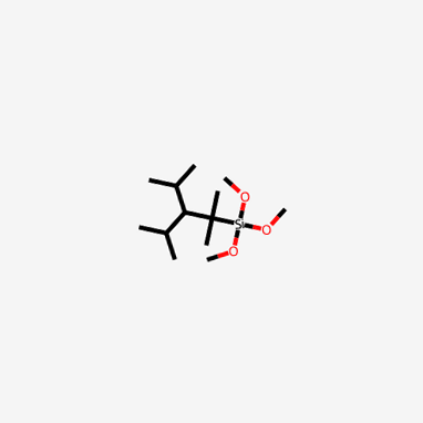 CO[Si](OC)(OC)C(C)(C)C(C(C)C)C(C)C